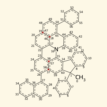 CC1(c2ccccc2)c2ccccc2-c2c(N(c3ccccc3-c3ccc(-c4cccc5ccccc45)cc3)c3ccccc3-c3ccccc3-c3ccccc3)cccc21